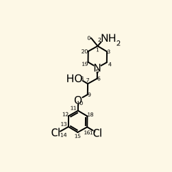 CC1(N)CCN(CC(O)COc2cc(Cl)cc(Cl)c2)CC1